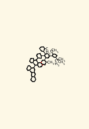 COc1ccc(C(C)(C)C)cc1-c1cc(-c2ccccc2C)c(-c2cccc(-c3c4ccccc4c(-c4cc5cc6ccccc6cc5c5ccccc45)c4ccccc34)c2)c(-c2ccccc2C)c1